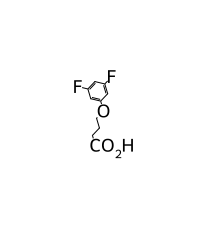 O=C(O)CCCOc1cc(F)cc(F)c1